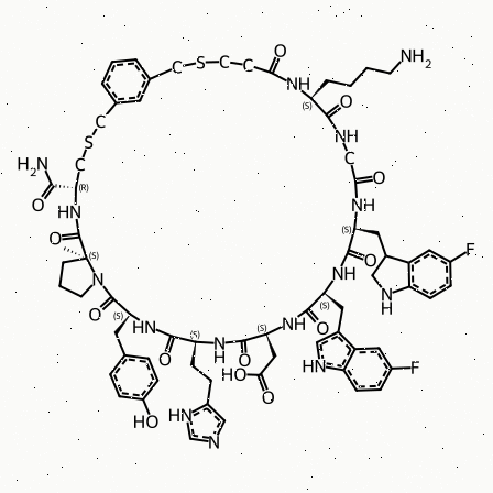 C[C@@]12CCCN1C(=O)[C@H](Cc1ccc(O)cc1)NC(=O)[C@H](CCc1cnc[nH]1)NC(=O)[C@H](CC(=O)O)NC(=O)[C@H](Cc1c[nH]c3ccc(F)cc13)NC(=O)[C@H](CC1CNc3ccc(F)cc31)NC(=O)CNC(=O)[C@H](CCCCN)NC(=O)CCSCc1cccc(c1)CSC[C@@H](C(N)=O)NC2=O